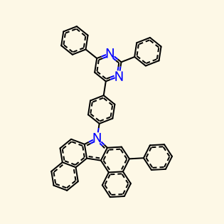 c1ccc(-c2cc(-c3ccc(-n4c5ccc6ccccc6c5c5c6ccccc6c(-c6ccccc6)cc54)cc3)nc(-c3ccccc3)n2)cc1